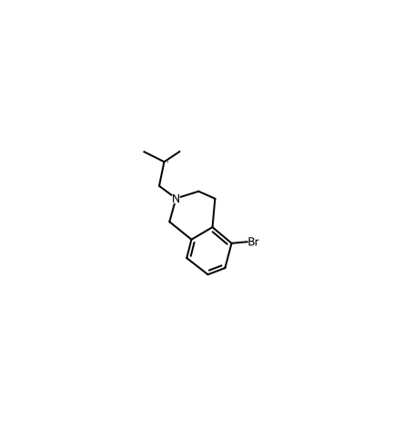 C[C](C)CN1CCc2c(Br)cccc2C1